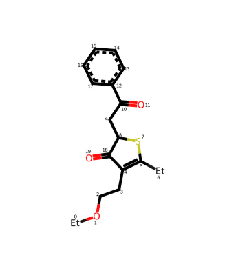 CCOCCC1=C(CC)SC(CC(=O)c2ccccc2)C1=O